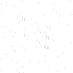 CN(Cc1ccc([N+](=O)[O-])cc1)c1nc(O)nc(NC2CCCC2)n1